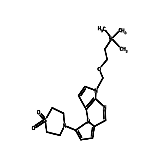 C[Si](C)(C)CCOCn1ccc2c1ncc1ccc(N3CCS(=O)(=O)CC3)n12